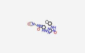 O=Nc1cnc(Nc2cccc(C(=O)NCCN3CCOCC3)c2)nc1Nc1ccc2c(c1)CCC2